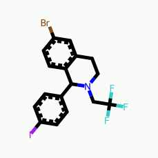 FC(F)(F)CN1CCc2cc(Br)ccc2C1c1ccc(I)cc1